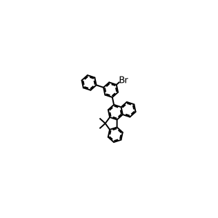 CC1(C)c2ccccc2-c2c1cc(-c1cc(Br)cc(-c3ccccc3)c1)c1ccccc21